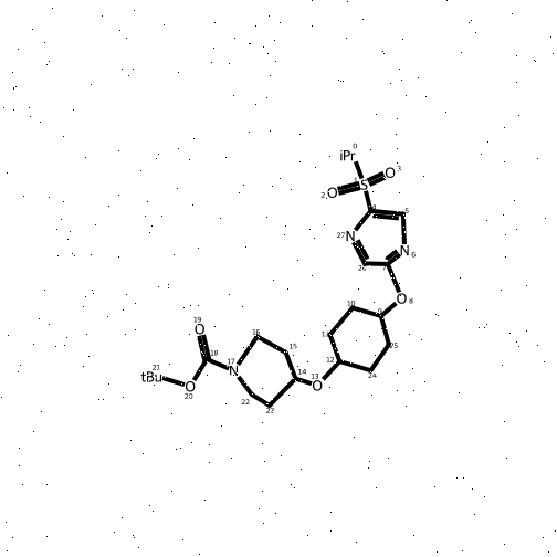 CC(C)S(=O)(=O)c1cnc(OC2CCC(OC3CCN(C(=O)OC(C)(C)C)CC3)CC2)cn1